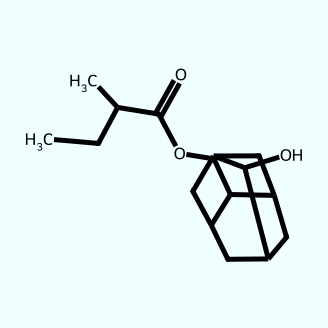 CCC(C)C(=O)OCC1C2CC3CC1CC(C2)C3O